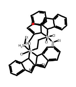 CC[SiH2][Zr]([Cl])([Cl])([CH2][CH2][Zr]([Cl])([Cl])([SiH2]CC)([CH]1C(CC)=Cc2ccccc21)[CH]1C(CC)=Cc2ccccc21)([CH]1C(CC)=Cc2ccccc21)[CH]1C(CC)=Cc2ccccc21